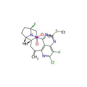 C=C1C[C@@H]2[C@@H]3CC[C@](F)(CN2c2nc(SCC)nc4c(F)c(Cl)nc1c24)N3C(=O)OC(C)(C)C